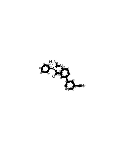 N#Cc1cncc(-c2ccc3nc(N)n(-c4ccccc4)c(=O)c3c2)c1